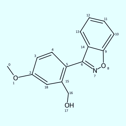 COc1ccc(-c2noc3ccccc23)c(CO)c1